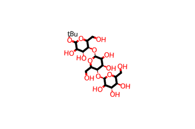 CC(C)(C)OC1OC(CO)[C@@H](O[C@H]2OC(CO)[C@@H](O[C@H]3OC(CO)[C@@H](O)[C@H](O)C3O)[C@H](O)C2O)[C@H](O)C1O